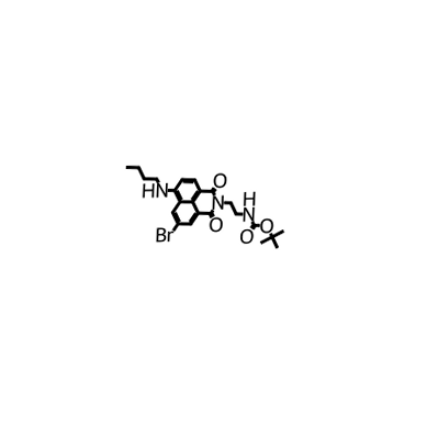 CCCCNc1ccc2c3c(cc(Br)cc13)C(=O)N(CCNC(=O)OC(C)(C)C)C2=O